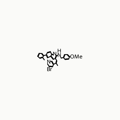 COc1ccc(CNc2nc3ccc(-c4ccccc4C)cc3cc2C=C(C)c2cncc(Br)c2)cc1